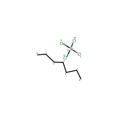 CCCCCCC.Cl[Si](Cl)(Cl)Cl